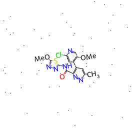 COc1nnc(NC(=O)c2nnc(C)cc2-c2cc(Cl)ncc2OC)s1